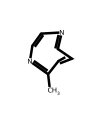 CC1=N/C=C\N=C\C=C\1